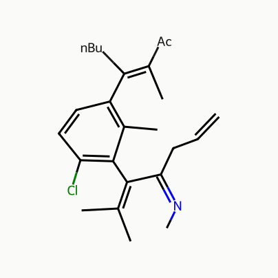 C=CC/C(=N/C)C(=C(C)C)c1c(Cl)ccc(/C(CCCC)=C(\C)C(C)=O)c1C